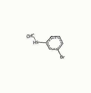 O=CNc1cccc(Br)c1